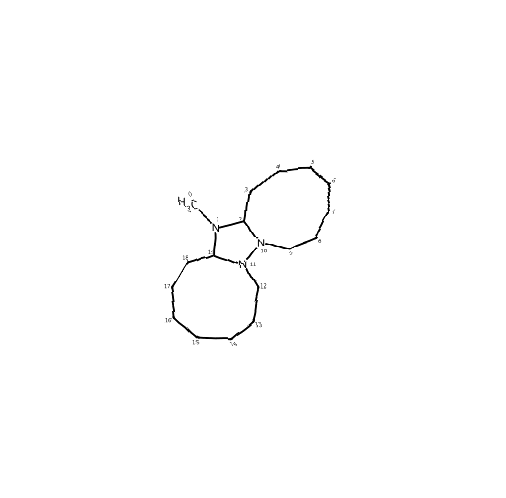 CN1C2CCCCCCCN2N2CCCCCCCC12